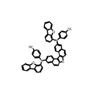 N#Cc1ccc(N(c2ccc3c(ccc4oc5ccc6cc(N(c7ccc(C#N)cc7)c7cccc8c7oc7ccccc78)ccc6c5c43)c2)c2cccc3c2oc2ccccc23)cc1